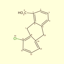 O=C(O)c1cccc2c1Cc1c(Cl)cccc1C2